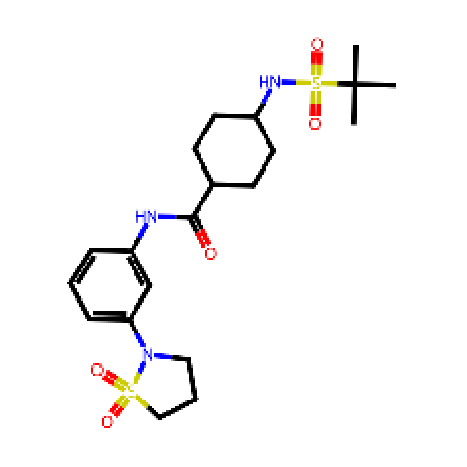 CC(C)(C)S(=O)(=O)NC1CCC(C(=O)Nc2cccc(N3CCCS3(=O)=O)c2)CC1